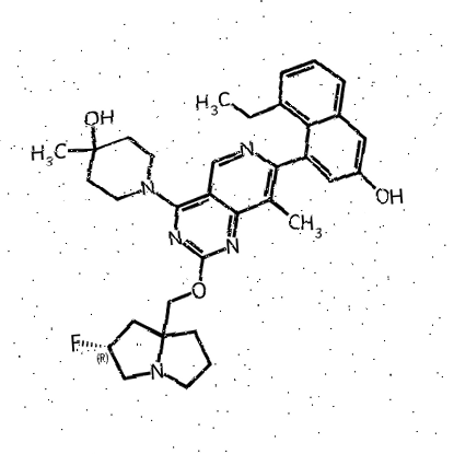 CCc1cccc2cc(O)cc(-c3ncc4c(N5CCC(C)(O)CC5)nc(OCC56CCCN5C[C@H](F)C6)nc4c3C)c12